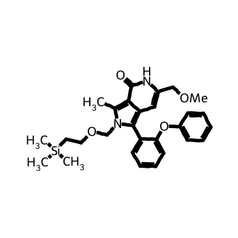 COCc1cc2c(-c3ccccc3Oc3ccccc3)n(COCC[Si](C)(C)C)c(C)c2c(=O)[nH]1